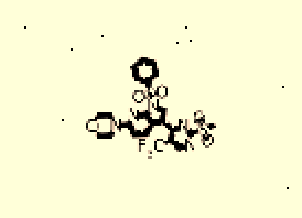 CS(=O)(=O)c1ncc(C(F)(F)F)c(-c2cn(S(=O)(=O)c3ccccc3)c3nc(N4CCOCC4)ccc23)n1